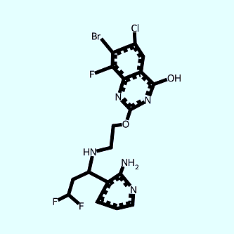 Nc1ncccc1C(CC(F)F)NCCOc1nc(O)c2cc(Cl)c(Br)c(F)c2n1